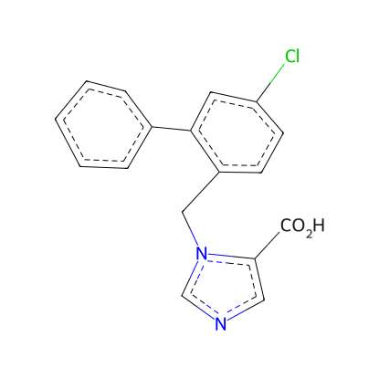 O=C(O)c1cncn1Cc1ccc(Cl)cc1-c1ccccc1